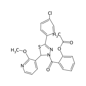 COc1ncccc1C1SC(c2ccc(Cl)cc2)=NN1C(=O)c1ccccc1OC(C)=O